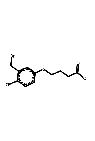 O=C(O)CCCSc1ccc(Cl)c(CBr)c1